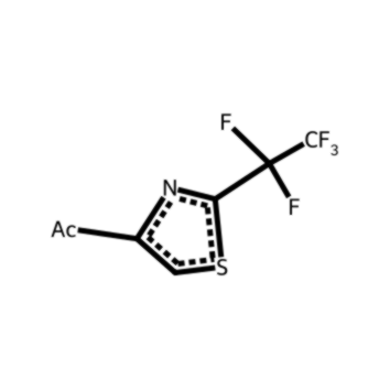 CC(=O)c1csc(C(F)(F)C(F)(F)F)n1